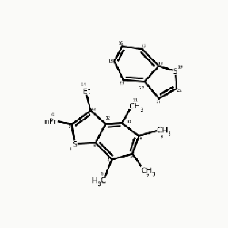 CCCc1sc2c(C)c(C)c(C)c(C)c2c1CC.c1ccc2sccc2c1